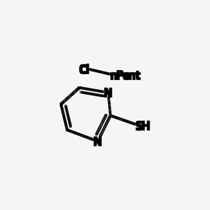 CCCCCCl.Sc1ncccn1